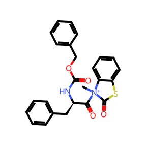 C[N+]1(C(=O)[C@@H](Cc2ccccc2)NC(=O)OCc2ccccc2)C(=O)Sc2ccccc21